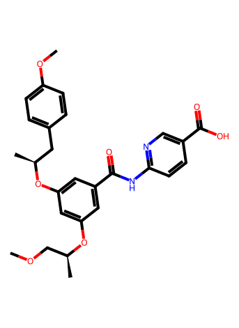 COC[C@H](C)Oc1cc(O[C@@H](C)Cc2ccc(OC)cc2)cc(C(=O)Nc2ccc(C(=O)O)cn2)c1